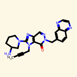 CC#CCn1c(N2CCCC(N)C2)nc2cnn(Cc3ccc4nccnc4c3)c(=O)c21